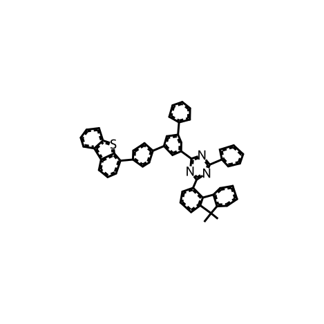 CC1(C)c2ccccc2-c2c(-c3nc(-c4ccccc4)nc(-c4cc(-c5ccccc5)cc(-c5ccc(-c6cccc7c6sc6ccccc67)cc5)c4)n3)cccc21